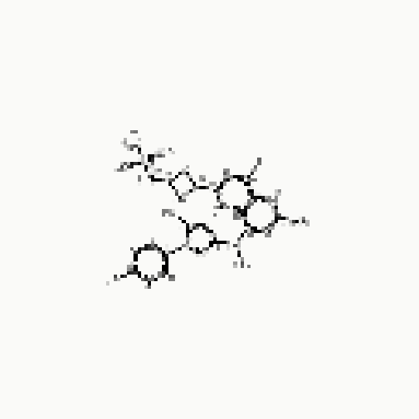 CCN(c1nc(-c2ccc(F)cc2)c(C#N)s1)c1cc(C(C)C)nc2c(F)cc(N3CC(NS(C)(=O)=O)C3)cc12